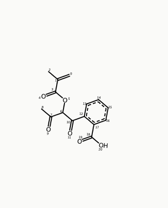 C=C(C)C(=O)OC(C(C)=O)C(=O)c1ccccc1C(=O)O